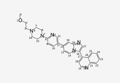 COCCN1CCN(c2ccc(-c3ccn4c(-c5ccnc6ccccc56)cnc4c3)cn2)CC1